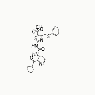 CS(=O)(=O)c1sc(NC(=O)Nc2cccnc2C(=O)C2CCCC2)nc1CSc1ccccc1